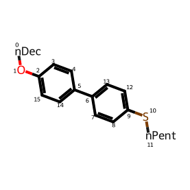 CCCCCCCCCCOc1ccc(-c2ccc(SCCCCC)cc2)cc1